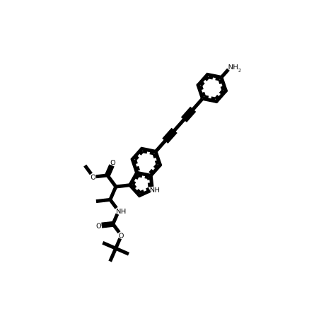 COC(=O)C(c1c[nH]c2cc(C#CC#Cc3ccc(N)cc3)ccc12)C(C)NC(=O)OC(C)(C)C